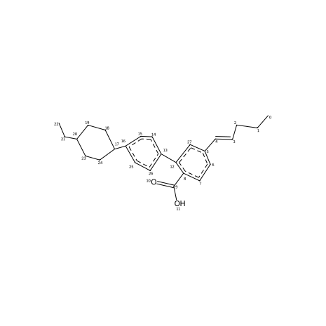 CCCC=Cc1ccc(C(=O)O)c(-c2ccc(C3CCC(CC)CC3)cc2)c1